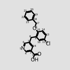 O=C(O)c1cncc(Cc2cc(Cl)ccc2OCc2ccccc2)c1